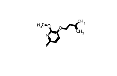 C=C(C)CCOc1ccc(I)nc1OC